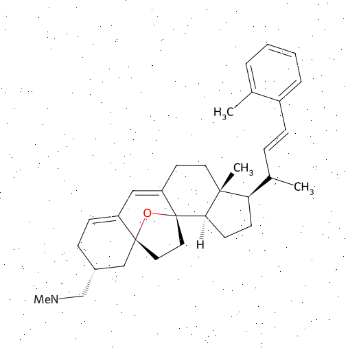 CNC[C@@H]1CC=C2C=C3CC[C@]4(C)[C@@H](C(C)/C=C/c5ccccc5C)CC[C@H]4[C@@]34CC[C@]2(C1)O4